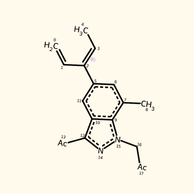 C=C/C(=C\C)c1cc(C)c2c(c1)c(C(C)=O)nn2CC(C)=O